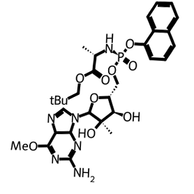 COC1=NC(N)=NC2C1N=CN2C1O[C@H](CO[P@](=O)(N[C@@H](C)C(=O)OCC(C)(C)C)Oc2cccc3ccccc23)[C@@H](O)[C@@]1(C)O